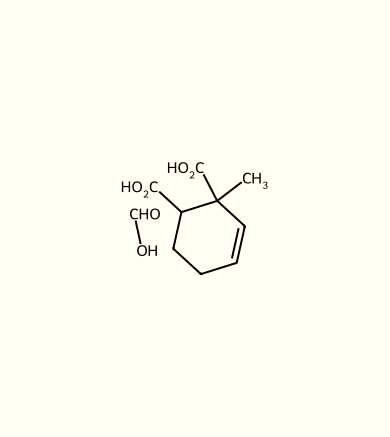 CC1(C(=O)O)C=CCCC1C(=O)O.O=CO